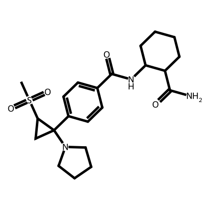 CS(=O)(=O)C1CC1(c1ccc(C(=O)NC2CCCCC2C(N)=O)cc1)N1CCCC1